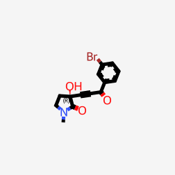 CN1CC[C@@](O)(C#CC(=O)c2cccc(Br)c2)C1=O